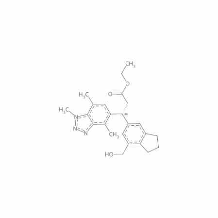 CCOC(=O)C[C@H](c1cc(CO)c2c(c1)CCC2)c1cc(C)c2c(nnn2C)c1C